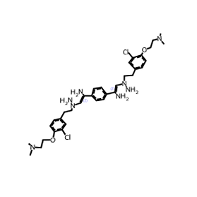 CN(C)CCOc1ccc(CCN(N)/C=C(\N)c2ccc(/C(N)=C/N(N)CCc3ccc(OCCN(C)C)c(Cl)c3)cc2)cc1Cl